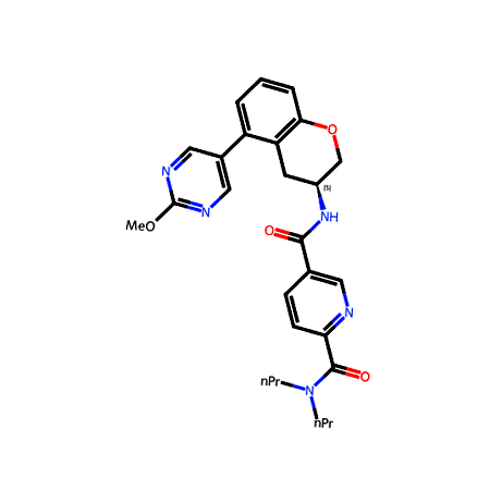 CCCN(CCC)C(=O)c1ccc(C(=O)N[C@@H]2COc3cccc(-c4cnc(OC)nc4)c3C2)cn1